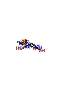 Cc1nc(C)c(S(=O)(=O)C2(c3cc(NCCO)nc(-c4ccc(NC(=O)NCCO)cc4)n3)CC2)s1